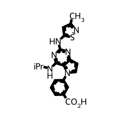 Cc1cc(Nc2nc(NC(C)C)c3c(ccn3-c3cccc(C(=O)O)c3)n2)sn1